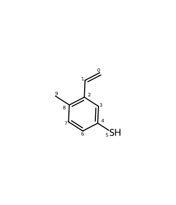 C=Cc1cc(S)ccc1C